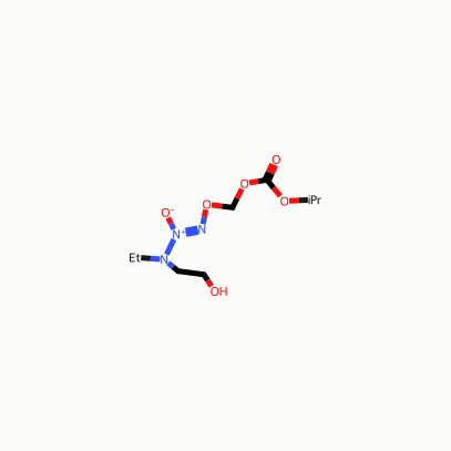 CCN(CCO)[N+]([O-])=NOCOC(=O)OC(C)C